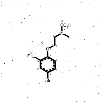 CN(CCOc1ccc(Br)cc1C(F)(F)F)C(=O)O